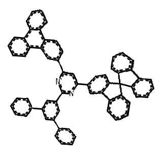 c1ccc(-c2cc(-c3ccccc3)cc(-c3nc(-c4ccc5c(c4)-c4ccccc4C54c5ccccc5-c5ccccc54)cc(-c4ccc5c6ccccc6c6ccccc6c5c4)n3)c2)cc1